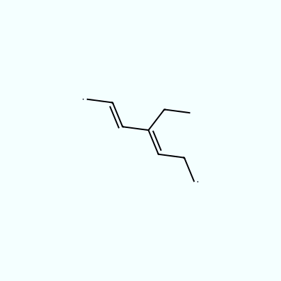 [CH2]/C=C/C(=C/C[CH2])CC